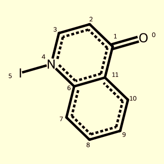 O=c1ccn(I)c2ccccc12